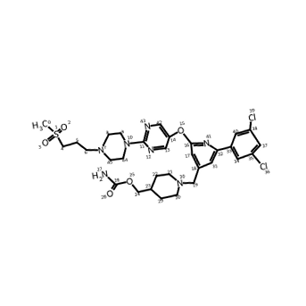 CS(=O)(=O)CCCN1CCN(c2ncc(Oc3cc(CN4CCC(COC(N)=O)CC4)cc(-c4cc(Cl)cc(Cl)c4)n3)cn2)CC1